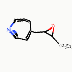 CCOC(=O)C1OC1c1ccncc1